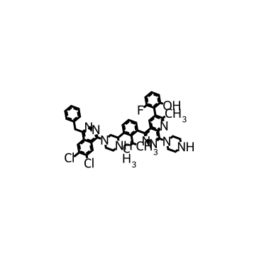 Cc1nc2c(N3CCNCC3)nnc(-c3cccc(C4CN(c5nnc(Cc6ccccc6)c6cc(Cl)c(Cl)cc56)CCN4)c3C(C)C)c2cc1-c1c(O)cccc1F